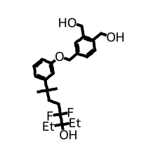 CCC(O)(CC)C(F)(F)CCC(C)(C)c1cccc(OCc2ccc(CO)c(CO)c2)c1